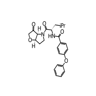 CC(C)C[C@H](NC(=O)c1ccc(Oc2ccccc2)cc1)C(=O)N1CC[C@H]2OCC(=O)[C@H]21